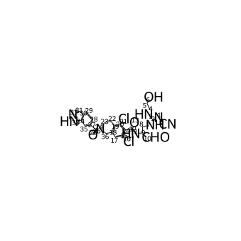 N#C/N=C(/NCCO)NC[C@@H](C=O)NC(=O)c1c(Cl)cc2c(c1Cl)CCN(C(=O)c1ccc3cn[nH]c3c1)C2